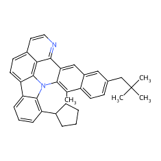 Cc1c2ccc(CC(C)(C)C)cc2cc2c3nccc4ccc5c6cccc(C7CCCC7)c6n(c12)c5c43